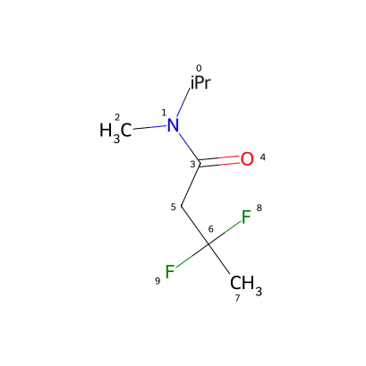 CC(C)N(C)C(=O)CC(C)(F)F